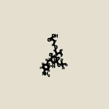 CC(C)C(COCCC(=O)O)NC(=O)C(Cc1ccc(N)cc1)NC(=O)OC(C)(C)C